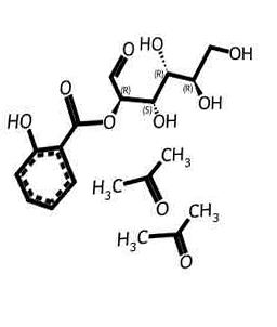 CC(C)=O.CC(C)=O.O=C[C@H](OC(=O)c1ccccc1O)[C@@H](O)[C@H](O)[C@H](O)CO